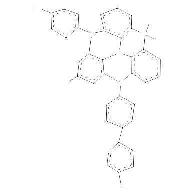 Cc1cc2c3c(c1)N(c1ccc(C(C)(C)C)cc1)c1cccc4c1B3c1c(cccc1[Si]4(C)C)N2c1ccc(-c2ccc(C(C)(C)C)cc2)cc1